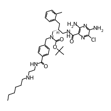 CCCCCCNCCNC(=O)c1ccc(CN(C[C@@H](CNC(=O)c2nc(Cl)c(N)nc2N)Cc2ccccc2C)C(=O)OC(C)(C)C)cc1